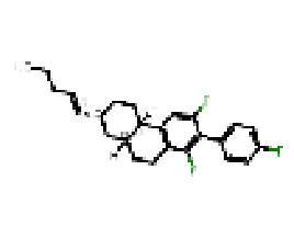 CCC/C=C/[C@@H]1CC[C@@H]2c3cc(F)c(-c4ccc(F)cc4)c(F)c3CC[C@@H]2C1